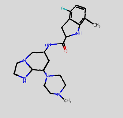 Cc1ccc(F)c2c1NC(C(=O)NC1CC(N3CCN(C)CC3)C3NCCN3C1)C2